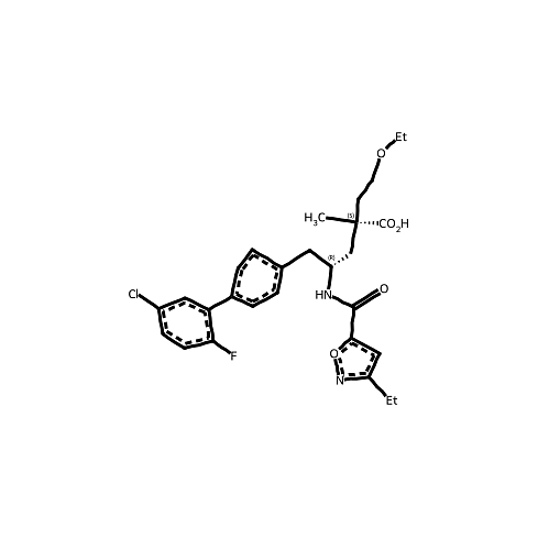 CCOCC[C@](C)(C[C@@H](Cc1ccc(-c2cc(Cl)ccc2F)cc1)NC(=O)c1cc(CC)no1)C(=O)O